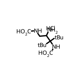 CC(C)(C)C(NC(=O)O)(C(N)CNC(=O)O)C(C)(C)C.Cl